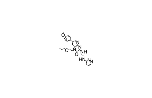 CCCOCCn1c(=O)c(NCCNc2cccnn2)nc2ncc(-c3ccc(OC)nc3)cc21